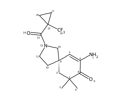 CC1(C)C[C@]2(C=C(N)C1=O)CCN(C(=O)C1(C(F)(F)F)CC1)C2